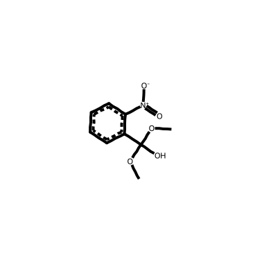 COC(O)(OC)c1ccccc1[N+](=O)[O-]